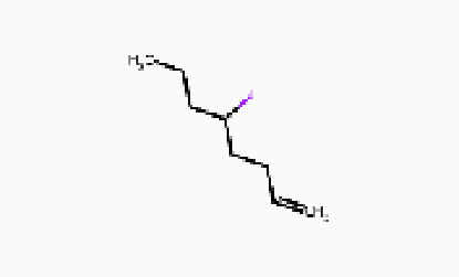 C=CCCC(I)CCC